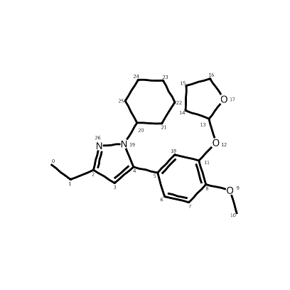 CCc1cc(-c2ccc(OC)c(OC3CCCO3)c2)n(C2CCCCC2)n1